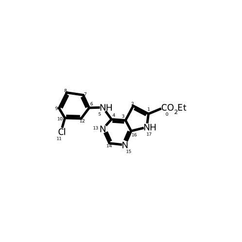 CCOC(=O)c1cc2c(Nc3cccc(Cl)c3)ncnc2[nH]1